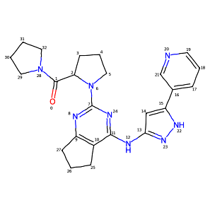 O=C(C1CCCN1c1nc2c(c(Nc3cc(-c4cccnc4)[nH]n3)n1)CCC2)N1CCCC1